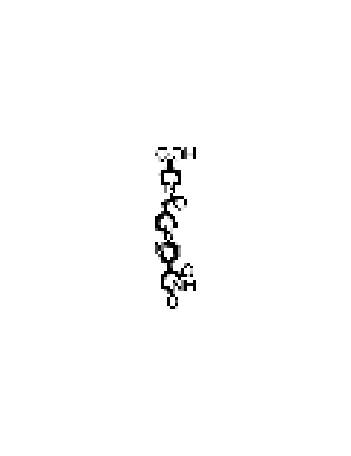 O=C1CCC(c2ccc(N3CCC(CC(=O)N4CCC(C(=O)O)CC4)CC3)nc2)C(=O)N1